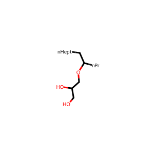 CCCCCCCCC(CCC)OCC(O)CO